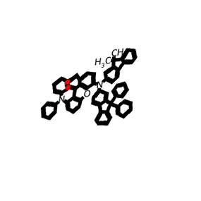 CC1(C)c2ccccc2-c2ccc(N(c3ccc4c(c3)C(c3ccccc3)(c3ccccc3)c3ccccc3-4)c3ccc4cccc5c4c3Oc3cccc(N(c4ccccc4)c4ccccc4)c3-5)cc21